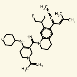 C=C=C=C(C=C(C)C)c1cc2c(cc1C(F)CF)N(C(=N)C1=C(NC3CCOCC3)CCN(C(=C)C)C1)CCC2